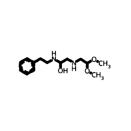 COC(CNCC(O)NCCc1ccccc1)OC